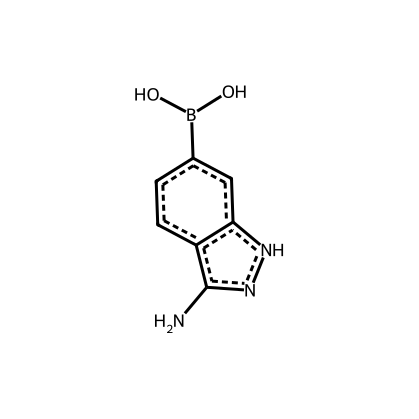 Nc1n[nH]c2cc(B(O)O)ccc12